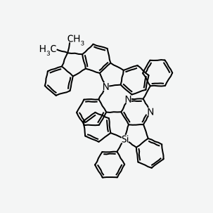 CC1(C)c2ccccc2-c2c1ccc1c3ccccc3n(-c3ccccc3-c3nc(-c4ccccc4)nc4c3[Si](c3ccccc3)(c3ccccc3)c3ccccc3-4)c21